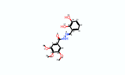 COc1cc(C(=O)NN=Cc2cccc(O)c2O)cc(OC)c1OC